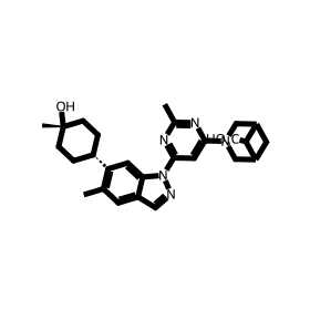 Cc1nc(N2CC3CC(C2)C3C(=O)O)cc(-n2ncc3cc(C)c([C@H]4CC[C@@](C)(O)CC4)cc32)n1